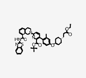 CCOC(=O)CC[C@H]1CC[C@H](Oc2ccc(-c3ccc(N4CCc5cccc(C(=O)Nc6nc7ccccc7s6)c5C4)nc3C(=O)OC(C)(C)C)c(C)c2)CC1